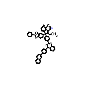 C=CC1=C(/C=C\C)c2ccccc2C1(c1ccc(-c2nc(-c3ccc(-c4ccc5ccccc5c4)cc3)c3ccccc3n2)cc1)c1ccc2nc(-c3ccccc3)oc2c1